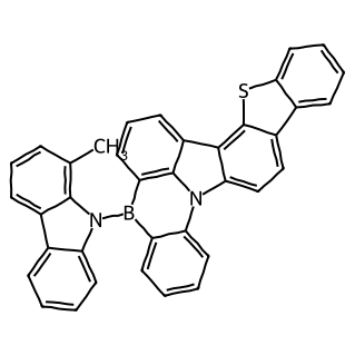 Cc1cccc2c3ccccc3n(B3c4ccccc4-n4c5ccc6c7ccccc7sc6c5c5cccc3c54)c12